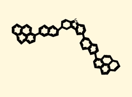 C1=Cc2ccc3ccc(-c4ccc5cc(-c6ccc7sc8c(c7c6)CC(c6ccc7cc(-c9ccc%10ccc%11cccc%12ccc9c%10c%11%12)ccc7c6)C=C8)ccc5c4)c4c3c2C(C=C4)C1